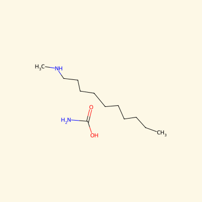 CCCCCCCCCCNC.NC(=O)O